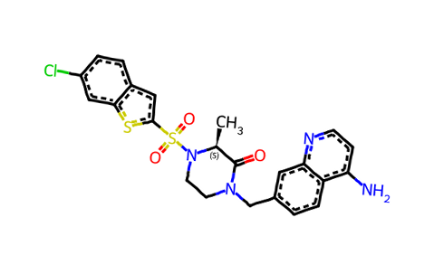 C[C@H]1C(=O)N(Cc2ccc3c(N)ccnc3c2)CCN1S(=O)(=O)c1cc2ccc(Cl)cc2s1